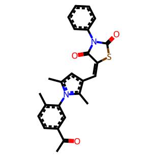 CC(=O)c1ccc(C)c(-n2c(C)cc(C=C3SC(=O)N(c4ccccc4)C3=O)c2C)c1